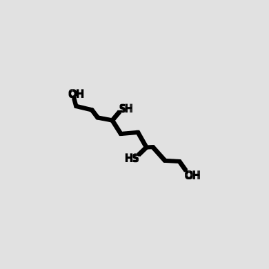 OCCCC(S)CCC(S)CCCO